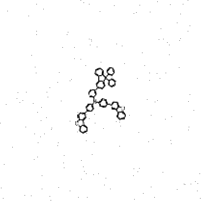 c1ccc(C2(c3ccccc3)c3ccccc3-c3cc(-c4cccc(N(c5ccc(-c6ccc7oc8ccccc8c7c6)cc5)c5ccc(-c6ccc7oc8ccccc8c7c6)cc5)c4)ccc32)cc1